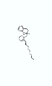 CCCCCCCCCN1CCCCC1CC1(C)CCc2ccccc2O1